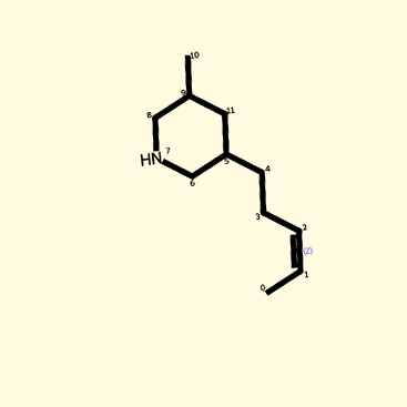 C/C=C\CCC1CNCC(C)C1